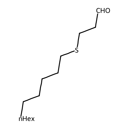 CCCCCCCCCCCSCCC=O